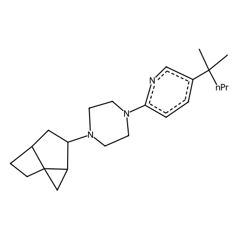 CCCC(C)(C)c1ccc(N2CCN(C3CC4CCC45CC35)CC2)nc1